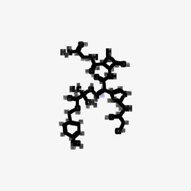 CC(C)(O/N=C(\C(=O)NC1C(=O)NC1C(=O)NCC(N)=O)c1csc(NC(=O)CCl)n1)C(=O)OCc1ccc([N+](=O)[O-])cc1